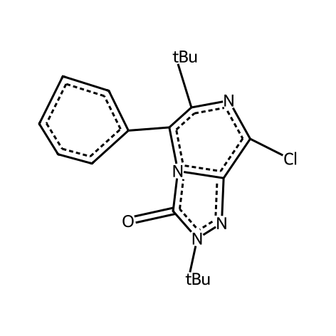 CC(C)(C)c1nc(Cl)c2nn(C(C)(C)C)c(=O)n2c1-c1ccccc1